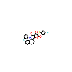 O=c1oc2c3c(n(-c4ccccc4)c(=O)c2c(O)c1Sc1ccc(F)cc1)-c1cc(F)ccc1CCC3